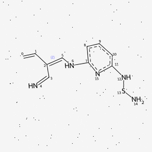 C=C/C(C=N)=C/Nc1cccc(NSN)n1